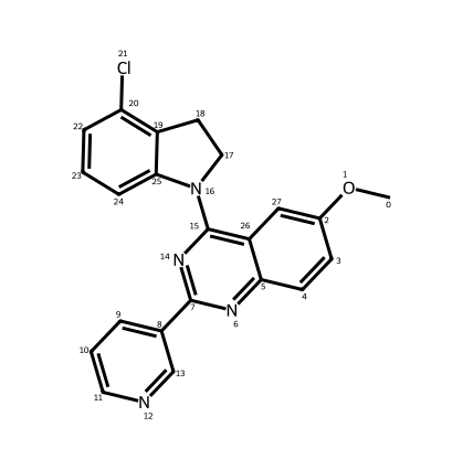 COc1ccc2nc(-c3cccnc3)nc(N3CCc4c(Cl)cccc43)c2c1